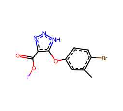 Cc1cc(Oc2[nH]nnc2C(=O)OI)ccc1Br